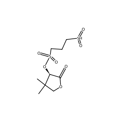 CC1(C)COC(=O)[C@@H]1OS(=O)(=O)CCC[SH](=O)=O